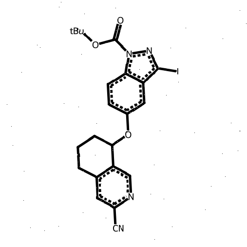 CC(C)(C)OC(=O)n1nc(I)c2cc(OC3CCCc4cc(C#N)ncc43)ccc21